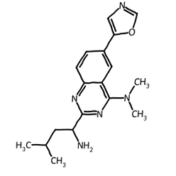 CC(C)CC(N)c1nc(N(C)C)c2cc(-c3cnco3)ccc2n1